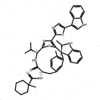 Cc1ccc2cc1[C@@]1(c3ccccc3NC1C)c1oc(nc1-c1ncc(-c3c[nH]c4ccccc34)o1)[C@H](C(C)C)NC(=O)[C@@H](NC(=O)C1(I)CCCCC1)C2